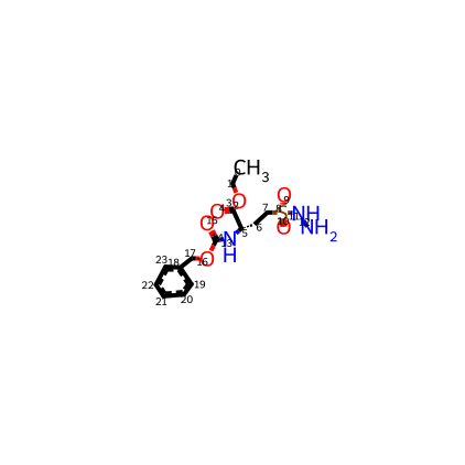 CCOC(=O)[C@H](CCS(=O)(=O)NN)NC(=O)OCc1ccccc1